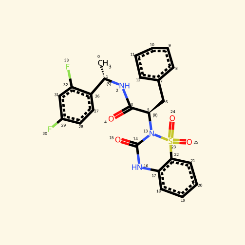 C[C@H](NC(=O)[C@@H](Cc1ccccc1)N1C(=O)Nc2ccccc2S1(=O)=O)c1ccc(F)cc1F